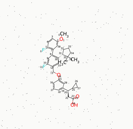 COc1ccc(F)c(-c2cc(F)c(COc3cccc([C@H](CC(=O)O)C4CC4)c3)cc2[C@@H]2CCCC2(C)C)c1